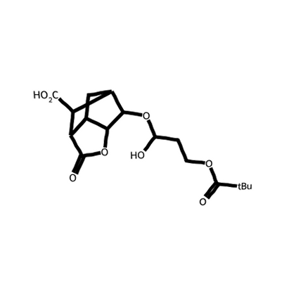 CC(C)(C)C(=O)OCCC(O)OC1C2CC3C1OC(=O)C3C2C(=O)O